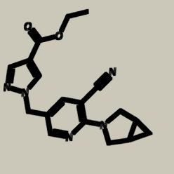 CCOC(=O)c1cnn(Cc2cnc(N3CC4CC4C3)c(C#N)c2)c1